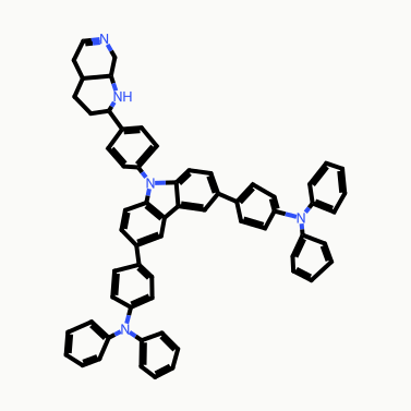 C1=NCC2NC(c3ccc(-n4c5ccc(-c6ccc(N(c7ccccc7)c7ccccc7)cc6)cc5c5cc(-c6ccc(N(c7ccccc7)c7ccccc7)cc6)ccc54)cc3)CCC2C1